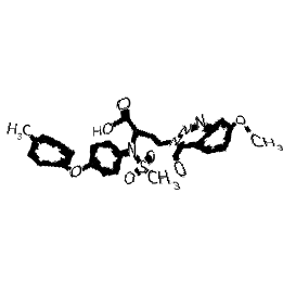 COc1ccc2c(=O)n(CCC(C(=O)O)N(c3ccc(Oc4ccc(C)cc4)cc3)S(C)(=O)=O)nnc2c1